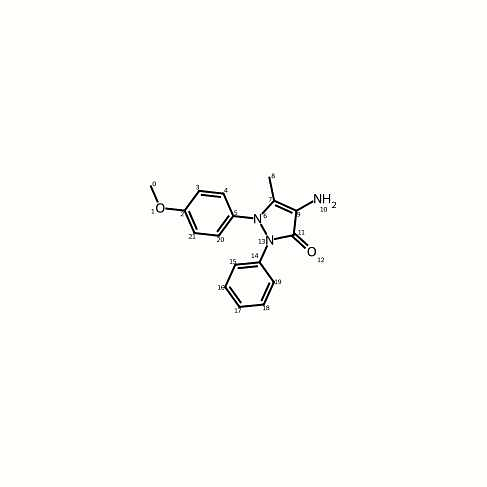 COc1ccc(-n2c(C)c(N)c(=O)n2-c2ccccc2)cc1